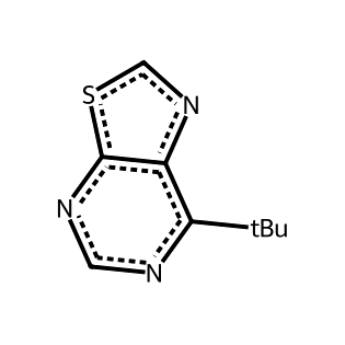 CC(C)(C)c1ncnc2scnc12